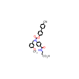 N#Cc1ccc(-c2ccc(OC(=O)N(Cc3cccc(OC(F)(F)F)c3)c3ccc(C(=O)NCCC(=O)O)cc3)cc2)cc1